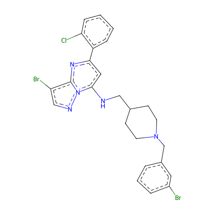 Clc1ccccc1-c1cc(NCC2CCN(Cc3cccc(Br)c3)CC2)n2ncc(Br)c2n1